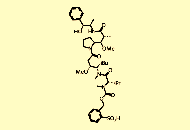 CC[C@H](C)[C@@H]([C@@H](CC(=O)N1CCC[C@H]1[C@H](OC)[C@@H](C)C(=O)N[C@H](C)[C@@H](O)c1ccccc1)OC)N(C)C(=O)[C@H](C(C)C)N(C)C(=O)OCc1ccccc1S(=O)(=O)O